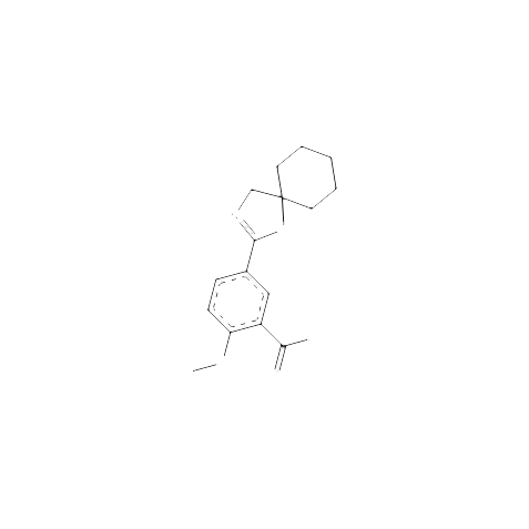 COc1ccc(C2=NCC3(CCCCC3)O2)cc1C(=O)O